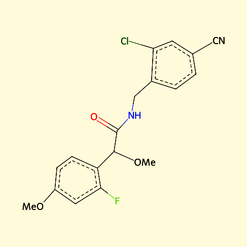 COc1ccc(C(OC)C(=O)NCc2ccc(C#N)cc2Cl)c(F)c1